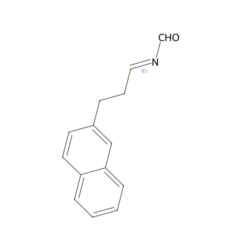 O=C/N=C/CCc1ccc2ccccc2c1